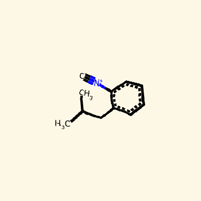 [C-]#[N+]c1ccccc1CC(C)C